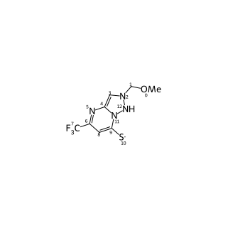 COCN1C=C2N=C(C(F)(F)F)C=C([S])N2N1